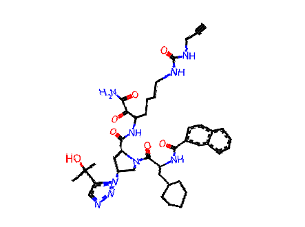 C#CCNC(=O)NCCCCC(NC(=O)[C@@H]1C[C@H](n2nncc2C(C)(C)O)CN1C(=O)C(CC1CCCCC1)NC(=O)c1ccc2ccccc2c1)C(=O)C(N)=O